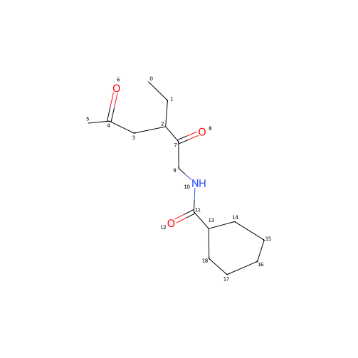 CCC(CC(C)=O)C(=O)CNC(=O)C1CCCCC1